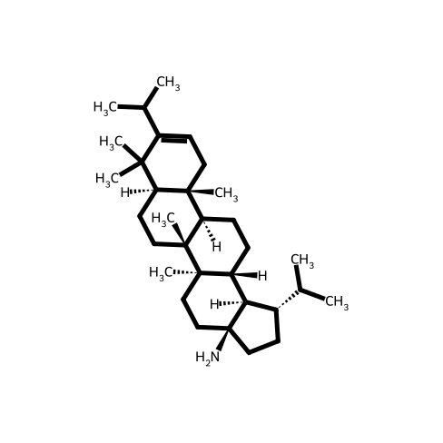 CC(C)C1=CC[C@]2(C)[C@H]3CC[C@@H]4[C@H]5[C@H](C(C)C)CC[C@]5(N)CC[C@@]4(C)[C@]3(C)CC[C@H]2C1(C)C